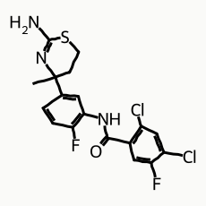 CC1(c2ccc(F)c(NC(=O)c3cc(F)c(Cl)cc3Cl)c2)CCSC(N)=N1